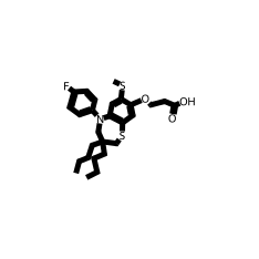 CCCCC1(CCCC)CSc2cc(OCCC(=O)O)c(SC)cc2N(c2ccc(F)cc2)C1